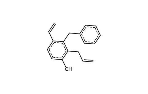 C=CCc1c(O)ccc(C=C)c1Cc1ccccc1